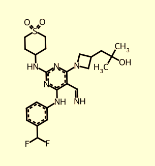 CC(C)(O)CC1CN(c2nc(NC3CCS(=O)(=O)CC3)nc(Nc3cccc(C(F)F)c3)c2C=N)C1